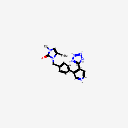 CCCCc1cn(CC)c(=O)n1Cc1ccc(-c2cnccc2-c2nnn[nH]2)cc1